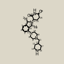 [2H]C1c2cccc(N3CCN(CC4CCNCC4)CC3)c2C([2H])N1C1CCC(=O)NC1=O